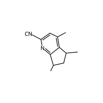 [C-]#[N+]c1cc(C)c2c(n1)C(C)CC2C